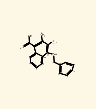 Cc1c(C)c(C(=O)O)c2ccccc2c1OCc1ccccc1